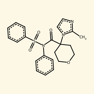 Cc1nccn1C1(C(=O)N(c2ccccc2)S(=O)(=O)c2ccccc2)CCOCC1